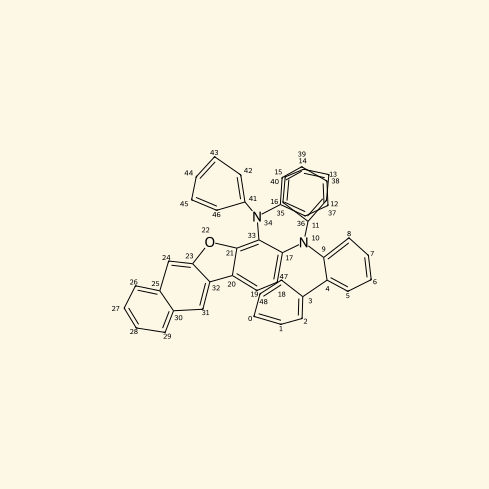 c1ccc(-c2ccccc2N(c2ccccc2)c2ccc3c(oc4cc5ccccc5cc43)c2N(c2ccccc2)c2ccccc2)cc1